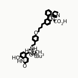 CC(C)(C)[Si](C)(C)O[C@@H](CNCCc1ccc(OCCCCc2ccc(N(C(=O)O)[C@H]3CN4CCC3CC4)c(-c3ccccc3)c2)cc1)c1ccc(O)c2[nH]c(=O)ccc12